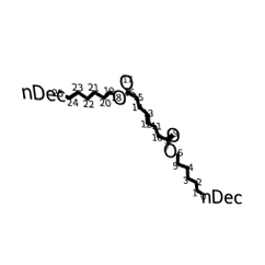 CCCCCCCCCCCCCCCCOC(=O)CCC=CCCC(=O)OCCCCCCCCCCCCCCCC